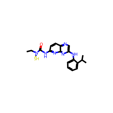 CCN(S)C(=O)Nc1ccc2ncc(Nc3ccccc3C(C)C)nc2n1